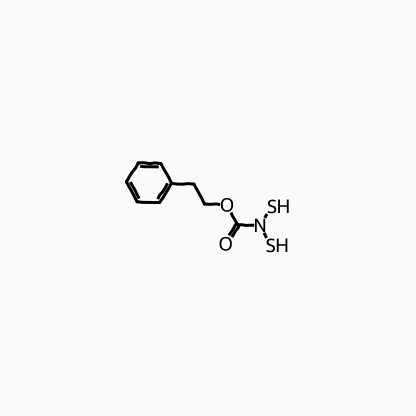 O=C(OCCc1ccccc1)N(S)S